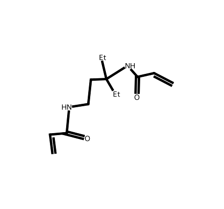 C=CC(=O)NCCC(CC)(CC)NC(=O)C=C